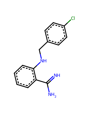 N=C(N)c1ccccc1NCc1ccc(Cl)cc1